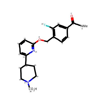 CNC(=O)c1ccc(COc2cccc(C3CCN(C(=O)O)CC3)n2)c(F)c1